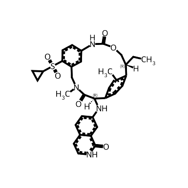 CC[C@H]1COC(=O)Nc2ccc(S(=O)(=O)C3CC3)c(c2)CN(C)C(=O)[C@H](Nc2ccc3cc[nH]c(=O)c3c2)c2ccc1c(C)c2